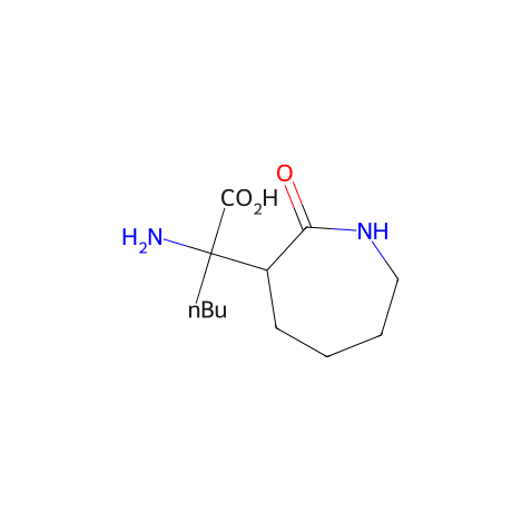 CCCCC(N)(C(=O)O)C1CCCCNC1=O